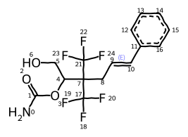 NC(=O)OC(CO)C(C/C=C/c1ccccc1)(C(F)(F)F)C(F)(F)F